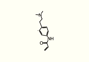 C=CC(=O)Nc1c[c]c(CCN(C)C)cc1